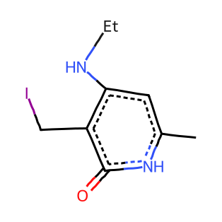 CCNc1cc(C)[nH]c(=O)c1CI